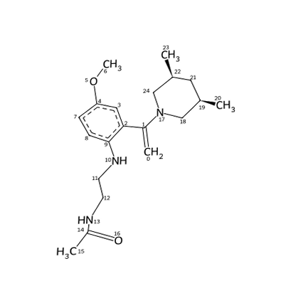 C=C(c1cc(OC)ccc1NCCNC(C)=O)N1C[C@H](C)C[C@H](C)C1